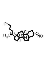 CC(C)CCCC(C)[C@H]1CC[C@H]2[C@@H]3CC=C4C[C@@H](ON=O)CC[C@]4(C)[C@H]3CC[C@]12C